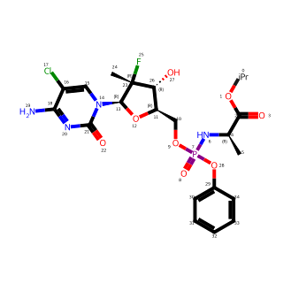 CC(C)OC(=O)[C@@H](C)NP(=O)(OC[C@H]1O[C@@H](n2cc(Cl)c(N)nc2=O)[C@](C)(F)[C@@H]1O)Oc1ccccc1